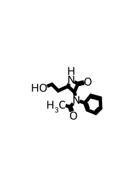 CC(=O)N(c1ccccc1)C1C(=O)NC1CCO